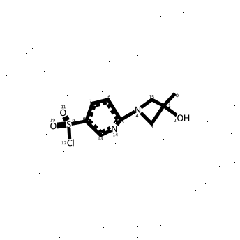 CC1(O)CN(c2ccc(S(=O)(=O)Cl)cn2)C1